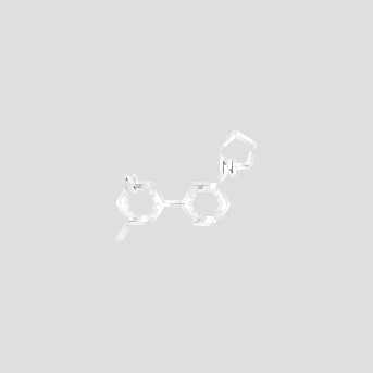 Cc1cncc(-c2cccc(N3CCCC3)c2)c1